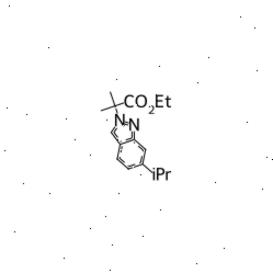 CCOC(=O)C(C)(C)n1cc2ccc(C(C)C)cc2n1